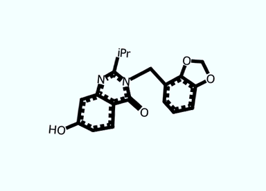 CC(C)c1nc2cc(O)ccc2c(=O)n1Cc1cccc2c1OCO2